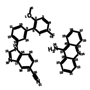 COc1ccc(F)cc1-c1cccc(-n2cnc3cc(C#N)ccc32)c1.Nc1c2ccccc2nc2ccccc12